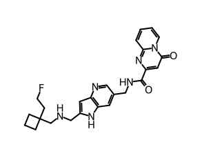 O=C(NCc1cnc2cc(CNCC3(CCF)CCC3)[nH]c2c1)c1cc(=O)n2ccccc2n1